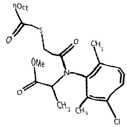 CCCCCCCCC(=O)SCC(=O)N(c1c(C)ccc(Cl)c1C)C(C)C(=O)OC